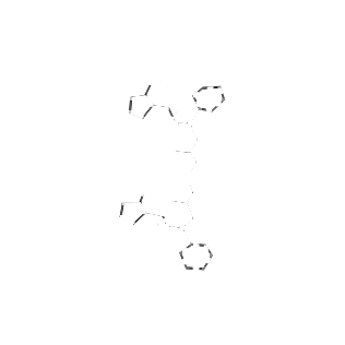 C=C1C=CC=C1/C=N/N(CC(O)CSCC(O)CN(/N=C/C1=CC=CC1=C)c1ccccc1)c1ccccc1